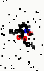 CCOC(=O)c1c(C)ccc[n+]1[O-]